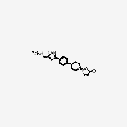 CC(=O)NCC1CC(c2ccc(C3CCN(N4NC(=O)CS4)CC3)cc2)=NO1